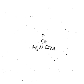 [AlH3].[Co].[Cr].[Ni].[Y]